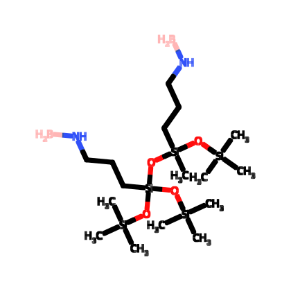 BNCCC[Si](C)(O[Si](C)(C)C)O[Si](CCCNB)(O[Si](C)(C)C)O[Si](C)(C)C